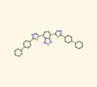 c1ccc(-c2ccc(-c3ncc(-c4ccc(-c5cnc(-c6ccc(-c7ccccc7)cc6)s5)c5nsnc45)s3)cc2)cc1